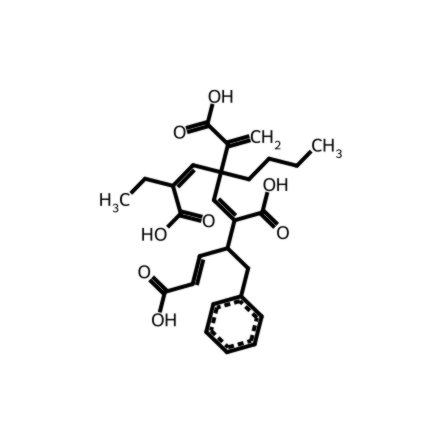 C=C(C(=O)O)C(C=C(CC)C(=O)O)(C=C(C(=O)O)C(C=CC(=O)O)Cc1ccccc1)CCCC